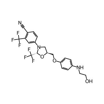 N#Cc1ccc(N2C[C@@H](COc3ccc(NCCO)cc3)O[C@@H]2C(F)(F)F)cc1C(F)(F)F